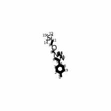 Cc1ccc(-c2cn(COCC[Si](C)(C)C)nn2)cc1